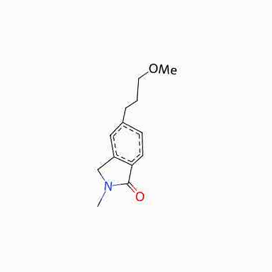 COCCCc1ccc2c(c1)CN(C)C2=O